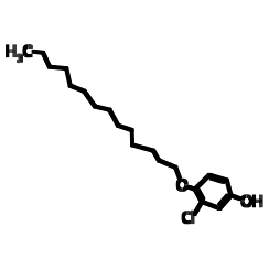 CCCCCCCCCCCCCCOc1ccc(O)cc1Cl